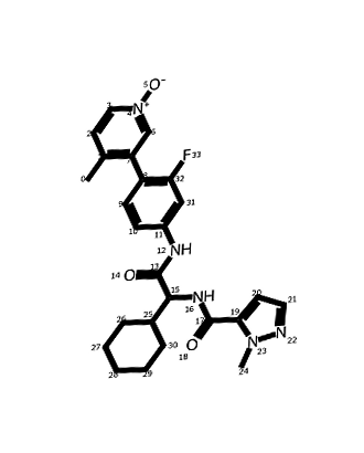 Cc1cc[n+]([O-])cc1-c1ccc(NC(=O)C(NC(=O)c2ccnn2C)C2CCCCC2)cc1F